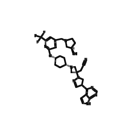 N#CCC1(N2CC(c3ncnc4[nH]ccc34)C=N2)CN([C@H]2CC[C@@H](Oc3cc(CN4CC[C@@H](O)C4)cc(C(F)(F)F)n3)CC2)C1